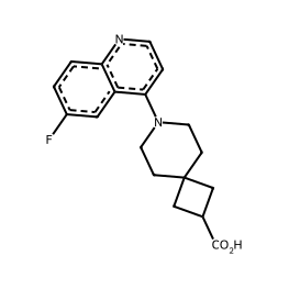 O=C(O)C1CC2(CCN(c3ccnc4ccc(F)cc34)CC2)C1